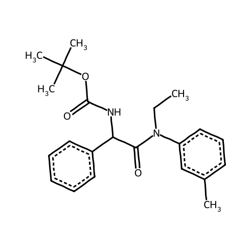 CCN(C(=O)C(NC(=O)OC(C)(C)C)c1ccccc1)c1cccc(C)c1